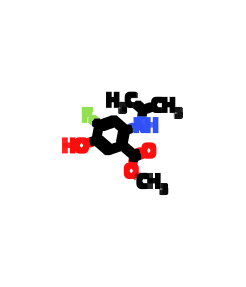 COC(=O)c1cc(O)c(F)cc1NC(C)C